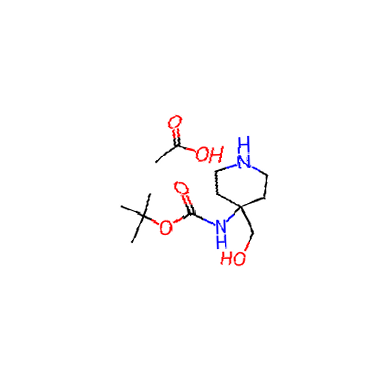 CC(=O)O.CC(C)(C)OC(=O)NC1(CO)CCNCC1